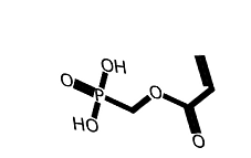 C=CC(=O)OCP(=O)(O)O